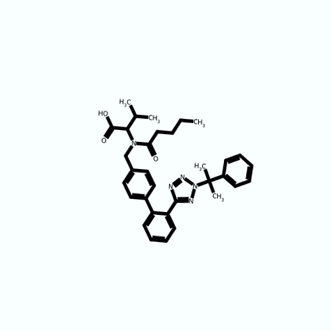 CCCCC(=O)N(Cc1ccc(-c2ccccc2-c2nnn(C(C)(C)c3ccccc3)n2)cc1)C(C(=O)O)C(C)C